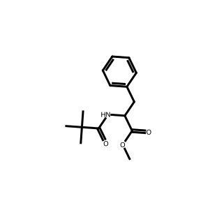 COC(=O)C(Cc1ccccc1)NC(=O)C(C)(C)C